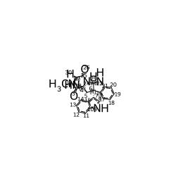 CN1C(=O)[C@@]23C[C@]4(c5c[nH]c6ccccc56)c5ccccc5N[C@@H]4N2C(=O)[C@@H]1N3